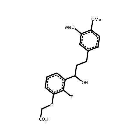 COc1ccc(CCC(O)c2cccc(OCC(=O)O)c2F)cc1OC